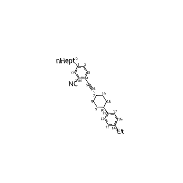 CCCCCCCc1ccc(C#C[C@H]2CC[C@H](c3ccc(CC)cc3)CC2)c(C#N)c1